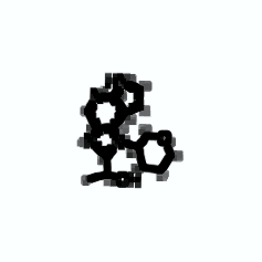 CC(O)c1nc2cnc3[nH]ccc3c2n1C1CCCOC1